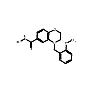 O=C(NO)c1ccc2c(c1)N(Cc1ccccc1OC(F)(F)F)CCO2